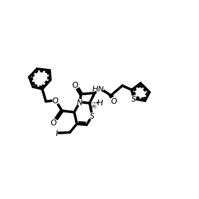 O=C(Cc1cccs1)NC1C(=O)N2C(C(=O)OCc3ccccc3)C(CI)=CS[C@H]12